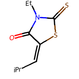 CCN1C(=O)/C(=C\C(C)C)SC1=S